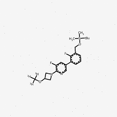 [2H]C([2H])([2H])OC1CN(c2ncc(-c3cccc(CO[Si](C)(C)C(C)(C)C)c3F)cc2F)C1